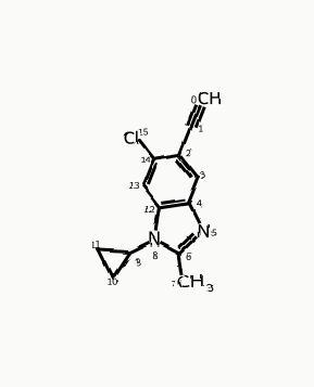 C#Cc1cc2nc(C)n(C3CC3)c2cc1Cl